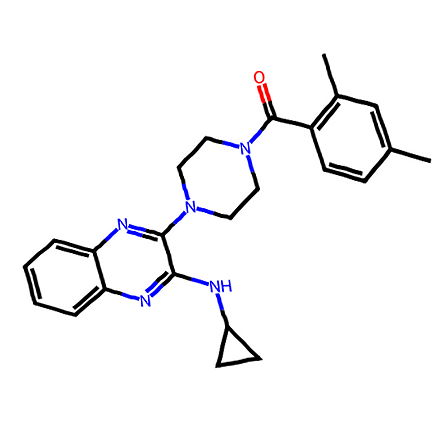 Cc1ccc(C(=O)N2CCN(c3nc4ccccc4nc3NC3CC3)CC2)c(C)c1